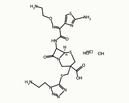 Cl.Cl.Cl.NCCON=C(C(=O)NC1C(=O)N2CC(CSc3nnnn3CCN)(C(=O)O)CS[C@H]12)c1csc(N)n1